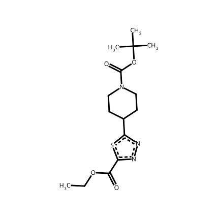 CCOC(=O)c1nnc(C2CCN(C(=O)OC(C)(C)C)CC2)s1